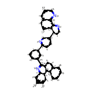 c1cc(-c2ccc(-c3ccnc4c3ccc3cccnc34)cn2)cc(-c2nc3ccccc3c3c2ccc2ccccc23)c1